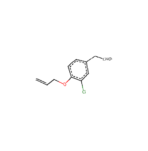 C=CCOc1ccc(C[C]=O)cc1Cl